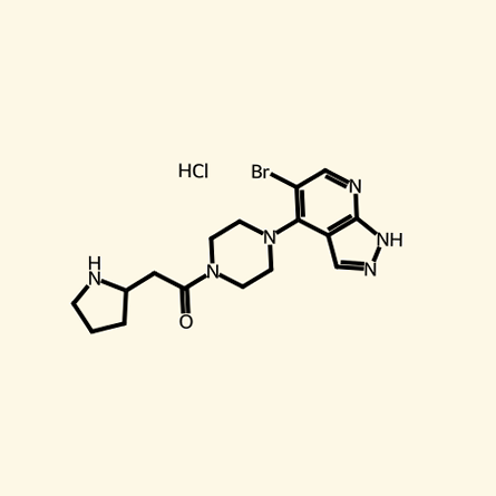 Cl.O=C(CC1CCCN1)N1CCN(c2c(Br)cnc3[nH]ncc23)CC1